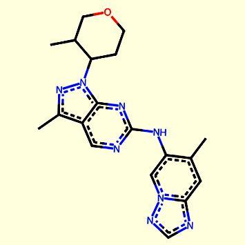 Cc1cc2ncnn2cc1Nc1ncc2c(C)nn(C3CCOCC3C)c2n1